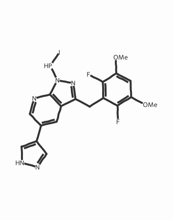 COc1cc(OC)c(F)c(Cc2nn(PI)c3ncc(-c4cn[nH]c4)cc23)c1F